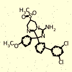 COc1ccc(C2(c3cccc(-c4cc(Cl)cc(Cl)c4)c3)N=C(N)N3CC(S(C)(=O)=O)CN=C32)cc1